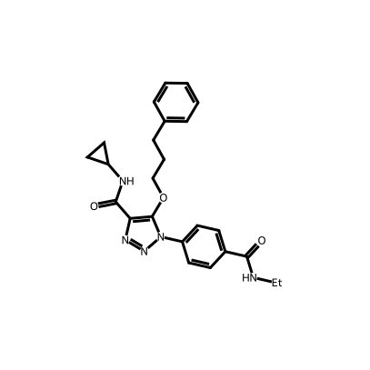 CCNC(=O)c1ccc(-n2nnc(C(=O)NC3CC3)c2OCCCc2ccccc2)cc1